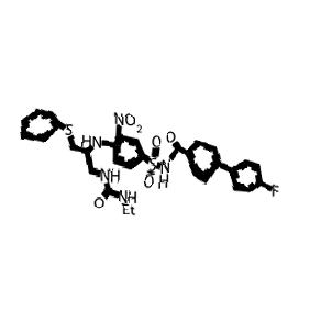 CCNC(=O)NCC(CSc1ccccc1)Nc1ccc(S(=O)(=O)NC(=O)c2ccc(-c3ccc(F)cc3)cc2)cc1[N+](=O)[O-]